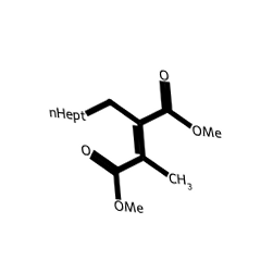 CCCCCCCCC(C(=O)OC)=C(C)C(=O)OC